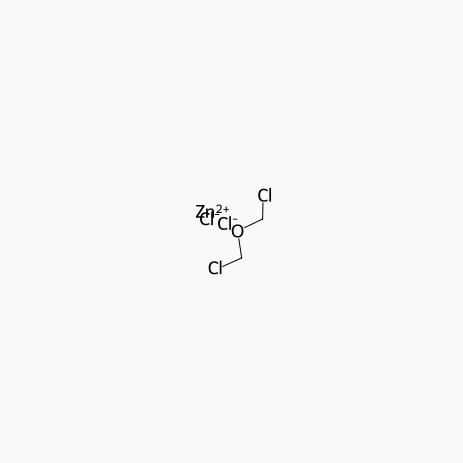 ClCOCCl.[Cl-].[Cl-].[Zn+2]